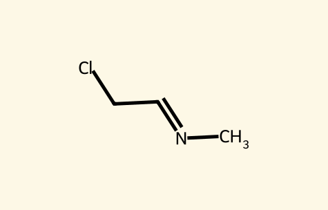 CN=CCCl